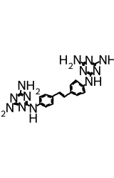 Nc1nc(N)nc(Nc2ccc(C=Cc3ccc(Nc4nc(N)nc(N)n4)cc3)cc2)n1